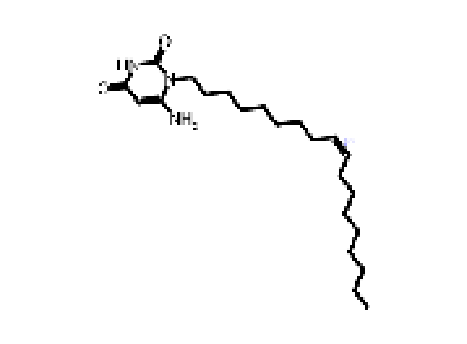 CCCCCCCC/C=C\CCCCCCCCn1c(N)cc(=O)[nH]c1=O